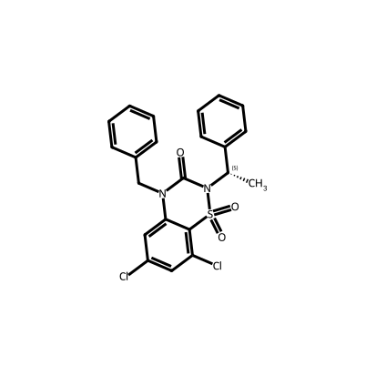 C[C@@H](c1ccccc1)N1C(=O)N(Cc2ccccc2)c2cc(Cl)cc(Cl)c2S1(=O)=O